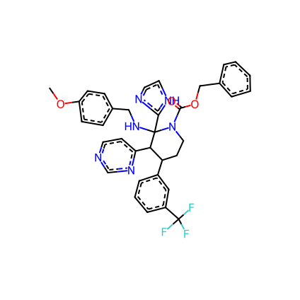 COc1ccc(CNC2(c3ncc[nH]3)C(c3ccncn3)C(c3cccc(C(F)(F)F)c3)CCN2C(=O)OCc2ccccc2)cc1